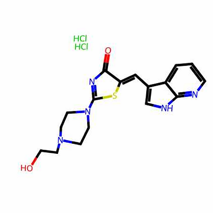 Cl.Cl.O=C1N=C(N2CCN(CCO)CC2)SC1=Cc1c[nH]c2ncccc12